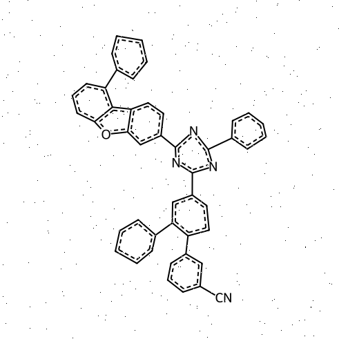 N#Cc1cccc(-c2ccc(-c3nc(-c4ccccc4)nc(-c4ccc5c(c4)oc4cccc(-c6ccccc6)c45)n3)cc2-c2ccccc2)c1